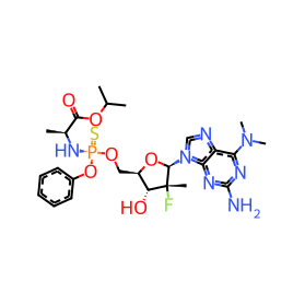 CC(C)OC(=O)[C@H](C)N[P@@](=S)(OC[C@H]1O[C@@H](n2cnc3c(N(C)C)nc(N)nc32)[C@](C)(F)[C@@H]1O)Oc1ccccc1